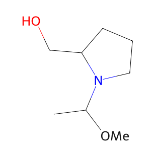 COC(C)N1CCCC1CO